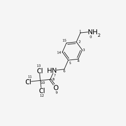 NCc1ccc(CNC(=O)C(Cl)(Cl)Cl)cc1